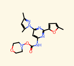 Cc1cc(C)n(-c2cc(NC(=O)ON3CCOCC3)nc(-c3ccc(C)o3)n2)n1